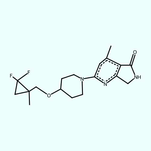 Cc1cc(N2CCC(OCC3(C)CC3(F)F)CC2)nc2c1C(=O)NC2